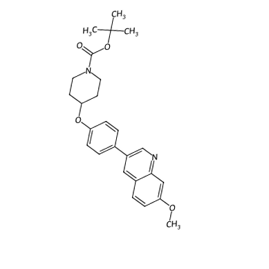 COc1ccc2cc(-c3ccc(OC4CCN(C(=O)OC(C)(C)C)CC4)cc3)cnc2c1